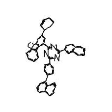 C1=CCC(c2cc(-c3nc(-c4ccc(-c5cccc6ccccc56)cc4)nc(-c4ccc5ccccc5c4)n3)c3c(c2)oc2ccccc23)C=C1